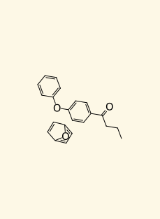 CCCC(=O)c1ccc(Oc2ccccc2)cc1.c1cc2ccc1o2